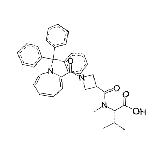 CC(C)[C@@H](C(=O)O)N(C)C(=O)C1CN(C(=O)C2=CC=CC=CN2C(c2ccccc2)(c2ccccc2)c2ccccc2)C1